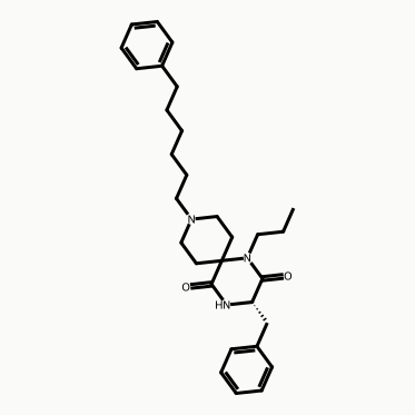 CCCN1C(=O)[C@H](Cc2ccccc2)NC(=O)C12CCN(CCCCCCc1ccccc1)CC2